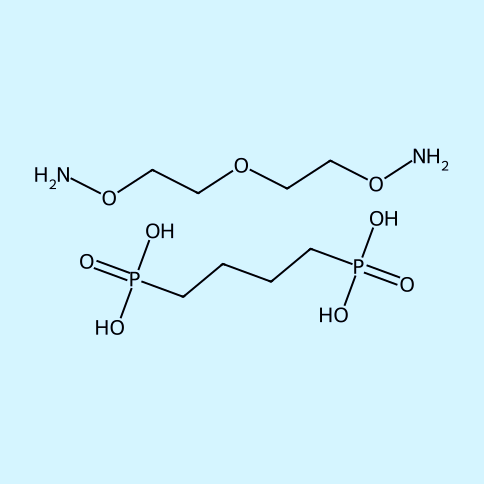 NOCCOCCON.O=P(O)(O)CCCCP(=O)(O)O